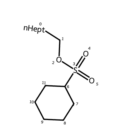 CCCCCCCCOS(=O)(=O)C1[CH]CCCC1